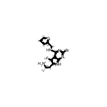 C[C@H](N)Cc1[nH]c2nc(Br)nc(NCc3ccco3)c2c1F